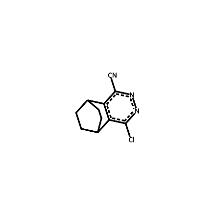 N#Cc1nnc(Cl)c2c1C1CCC2CC1